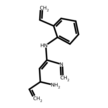 C=Cc1ccccc1N/C(=C/C(N)C=C)N=C